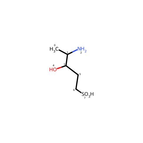 CC(N)C(O)CCS(=O)(=O)O